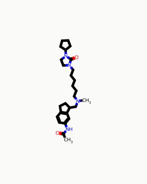 CC(=O)Nc1ccc2c(c1)C(CN(C)CCCCCCN1CCN(C3CCCC3)C1=O)CC2